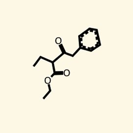 CCOC(=O)C(CC)C(=O)Cc1ccccc1